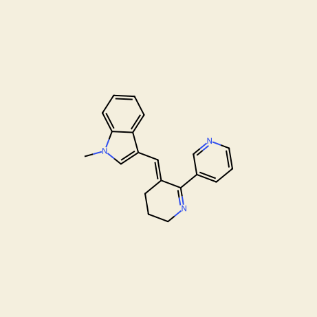 Cn1cc(/C=C2\CCCN=C2c2cccnc2)c2ccccc21